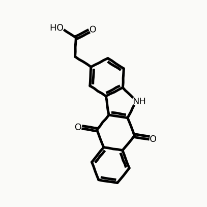 O=C(O)Cc1ccc2[nH]c3c(c2c1)C(=O)c1ccccc1C3=O